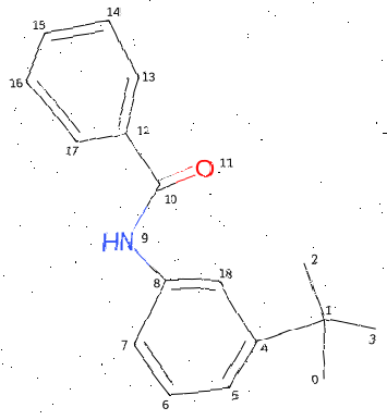 CC(C)(C)c1cccc(NC(=O)c2ccccc2)c1